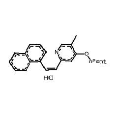 CCCCCOc1cc(/C=C\c2cccc3ccccc23)ncc1C.Cl